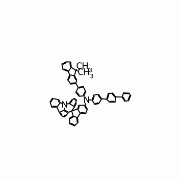 CC1(C)c2ccccc2-c2ccc(-c3ccc(N(c4ccc(-c5ccc(-c6ccccc6)cc5)cc4)c4ccc5c(c4)C4(c6ccccc6-5)c5ccccc5-n5c6ccccc6c6cccc4c65)cc3)cc21